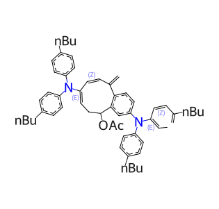 C=C(/C=C\C(=C/C)N(c1ccc(CCCC)cc1)c1ccc2c(c1)C(OC(C)=O)C/C=C(N(c1ccc(CCCC)cc1)c1ccc(CCCC)cc1)\C=C/C2=C)CCCC